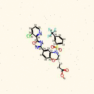 COC(=O)CC[C@H]1CN(S(=O)(=O)c2cccc(C(F)(F)F)c2)c2cc(-c3noc(-c4ncccc4Cl)n3)ccc2O1